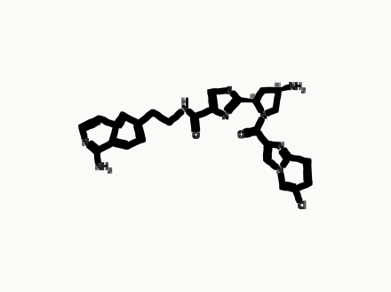 Nc1nccc2cc(CCNC(=O)c3csc([C@H]4C[C@@H](N)CN4C(=O)c4cn5cc(Cl)ccc5n4)n3)ccc12